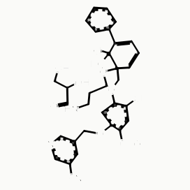 CC1(Cl)C(c2ccccc2)=CC=CC1(COc1cc(OCc2cncc(C#N)c2)c(C=O)cc1Cl)OCCCNC(=O)C(O)CO